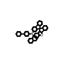 c1ccc(-c2ccc(N(c3ccc4c(c3)C3(c5ccccc5-4)c4ccccc4-c4oc5ccccc5c43)c3cccc4ccccc34)cc2)cc1